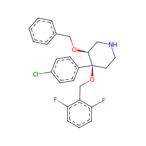 Fc1cccc(F)c1CO[C@]1(c2ccc(Cl)cc2)CCNC[C@@H]1OCc1ccccc1